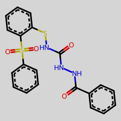 O=C(NNC(=O)c1ccccc1)NSc1ccccc1S(=O)(=O)c1ccccc1